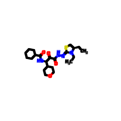 CC[C@@H]1CS/C(=N\NC(=O)C(=O)[C@H](NC(=O)C2CCCCC2)C2CCOCC2)N1CC